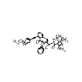 COc1c(C(=O)N[C@@H](C)c2cc3cccc(C#Cc4cnn(C)c4)c3c(=O)n2-c2ccccc2)c(N)nn1C